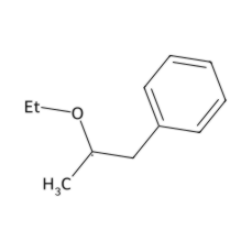 CCO[C](C)Cc1ccccc1